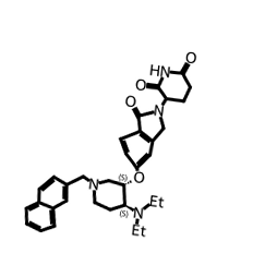 CCN(CC)[C@H]1CCN(Cc2ccc3ccccc3c2)C[C@@H]1Oc1ccc2c(c1)CN(C1CCC(=O)NC1=O)C2=O